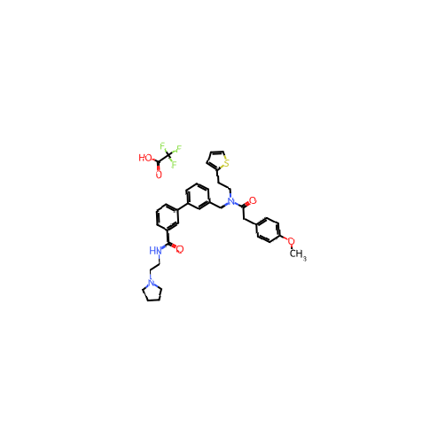 COc1ccc(CC(=O)N(CCc2cccs2)Cc2cccc(-c3cccc(C(=O)NCCN4CCCC4)c3)c2)cc1.O=C(O)C(F)(F)F